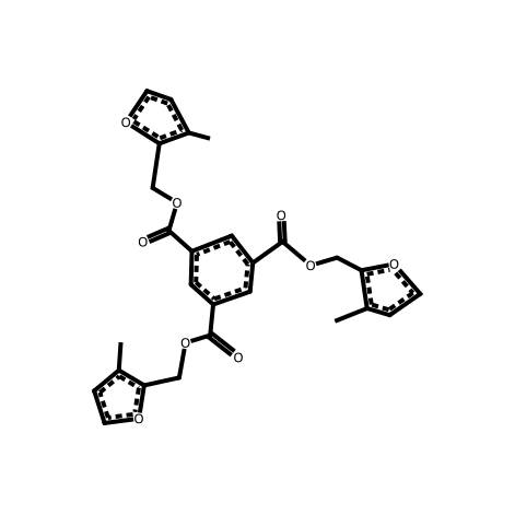 Cc1ccoc1COC(=O)c1cc(C(=O)OCc2occc2C)cc(C(=O)OCc2occc2C)c1